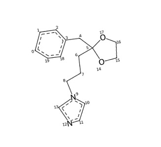 c1ccc(CC2(CCCn3ccnc3)OCCO2)cc1